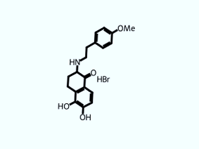 Br.COc1ccc(CCNC2CCc3c(ccc(O)c3O)C2=O)cc1